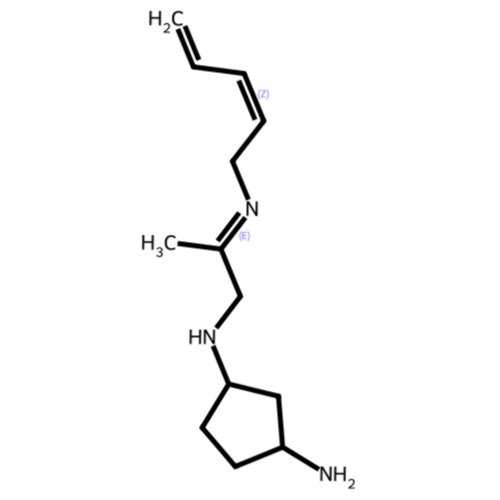 C=C/C=C\C/N=C(\C)CNC1CCC(N)C1